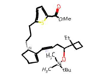 CCC1(C(C/C=C/C2=CCC[C@@H]2CCCc2ccc(C(=O)OC)s2)O[Si](C)(C)C(C)(C)C)CCC1